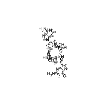 C=P1(S)OC[C@H]2O[C@@H](n3cnc4c(=O)[nH]c(N)nc43)[C@H](F)[C@@H]2OP(=C)(S)OC[C@@H]2O[C@H](n3cnc4c(N)ncnc43)[C@H](F)[C@H]2O1